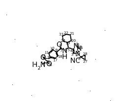 N#CC1(n2cc(C(NC(=O)c3ccc(S(N)(=O)=O)cc3)C3CCCCC3)nn2)CC1